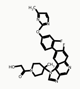 Cc1ccnc(Oc2ccc(-c3cc4c(cc3F)ncc3ncn(C5(C)CCN(C(=O)CO)CC5)c34)c(F)c2)n1